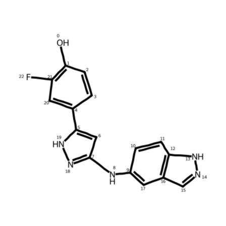 Oc1ccc(-c2cc(Nc3ccc4[nH]ncc4c3)n[nH]2)cc1F